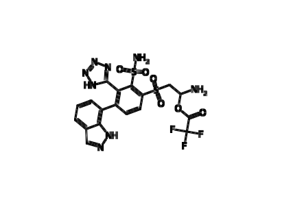 NC(CS(=O)(=O)c1ccc(-c2cccc3cn[nH]c23)c(-c2nnn[nH]2)c1S(N)(=O)=O)OC(=O)C(F)(F)F